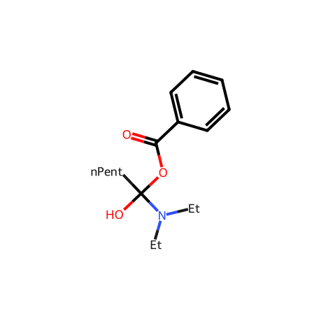 CCCCCC(O)(OC(=O)c1ccccc1)N(CC)CC